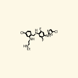 CCNCCNc1cc(Cl)ccc1CNc1cc(F)c(Nc2ncc(Cl)s2)cc1F